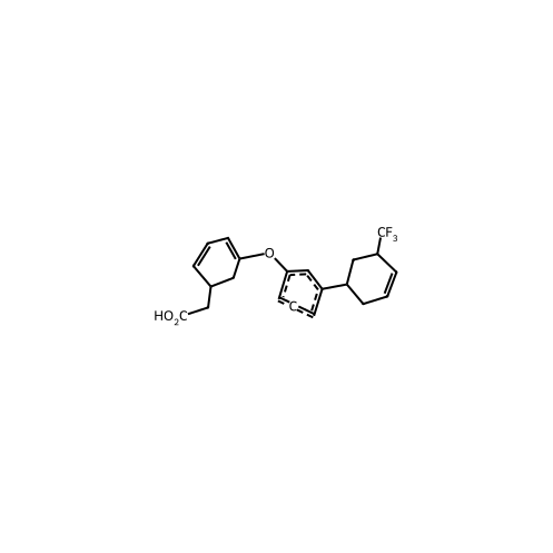 O=C(O)CC1C=CC=C(Oc2cccc(C3CC=CC(C(F)(F)F)C3)c2)C1